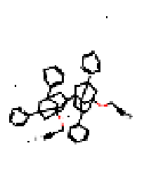 C#CCOC12CC3(c4ccccc4)CC(c4ccccc4)(C1)CC(C14CC5(OCC#C)CC(c6ccccc6)(CC(c6ccccc6)(C5)C1)C4)(C2)C3